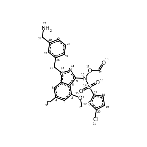 COc1cc(F)cc2c1c(N(OC=O)S(=O)(=O)c1ccc(Cl)s1)nn2Cc1cccc(CN)c1